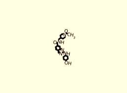 CC(=O)N1CCC(CNC(=O)c2ccc3cnc(N[C@H]4CC[C@H](O)CC4)nc3c2)CC1